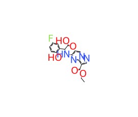 CCOC(=O)c1cnn2ccc(NC(C(=O)O)c3cc(F)ccc3O)nc12